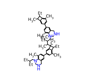 CCC(CC)CN1CNCc2cc(-c3cc(C)c4c(c3)C(C)(C(C)C(CC)C[N+]3(C)CNCc5cc(-c6cc(C)c7c(c6)C(C)C7CC)cc(C)c53)C4CC)cc(C)c21